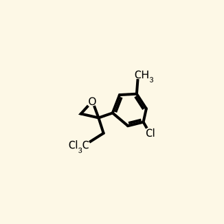 Cc1cc(Cl)cc(C2(CC(Cl)(Cl)Cl)CO2)c1